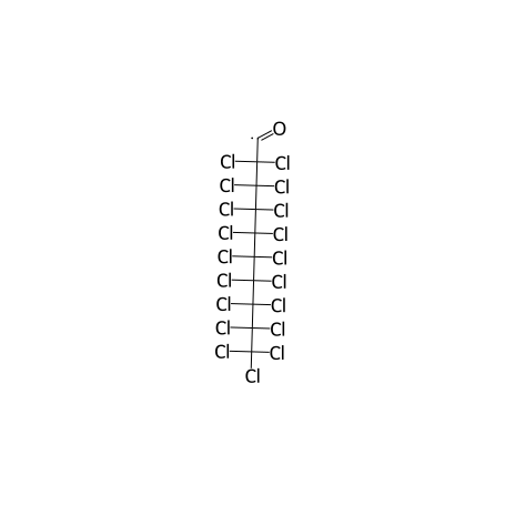 O=[C]C(Cl)(Cl)C(Cl)(Cl)C(Cl)(Cl)C(Cl)(Cl)C(Cl)(Cl)C(Cl)(Cl)C(Cl)(Cl)C(Cl)(Cl)C(Cl)(Cl)Cl